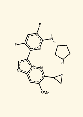 COc1cc2ncc(-c3nc(N[C@@H]4CCNC4)c(F)cc3F)n2nc1C1CC1